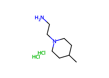 CC1CCN(CCN)CC1.Cl.Cl